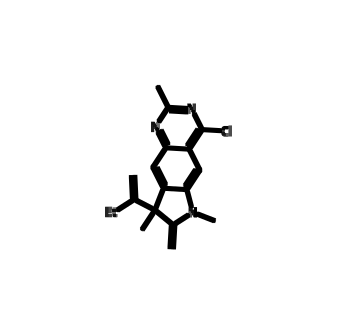 C=C(CC)C1(C)C(=C)N(C)c2cc3c(Cl)nc(C)nc3cc21